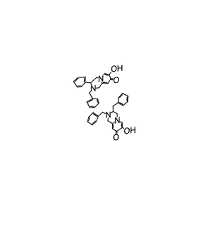 O=c1cc2n(cc1O)CC(Cc1ccccc1)N(Cc1ccccc1)C2.O=c1cc2n(cc1O)CC(c1ccccc1)N(Cc1ccccc1)C2